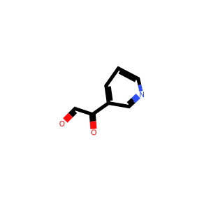 O=[C]C(=O)c1cccnc1